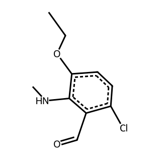 CCOc1ccc(Cl)c(C=O)c1NC